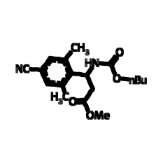 CCCCOC(=O)NC(CC(=O)OC)c1c(C)cc(C#N)cc1C